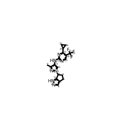 Cc1nn(C2CCc3cn[nH]c32)cc1Nc1ncc(C(F)(F)F)c(C2CC2)n1